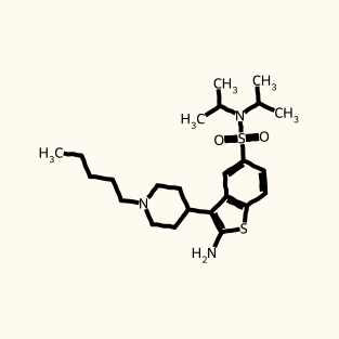 CCCCCN1CCC(c2c(N)sc3ccc(S(=O)(=O)N(C(C)C)C(C)C)cc23)CC1